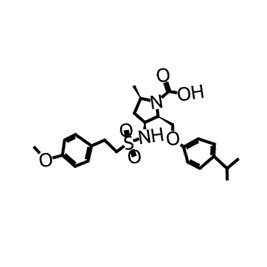 COc1ccc(CCS(=O)(=O)N[C@H]2C[C@@H](C)N(C(=O)O)[C@H]2COc2ccc(C(C)C)cc2)cc1